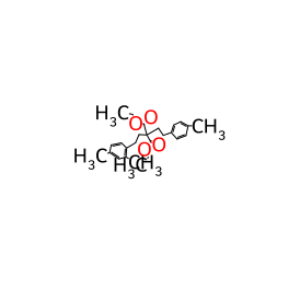 CCOC(=O)C(CCc1ccc(C)cc1)(CCc1ccc(C)cc1C)C(=O)OCC